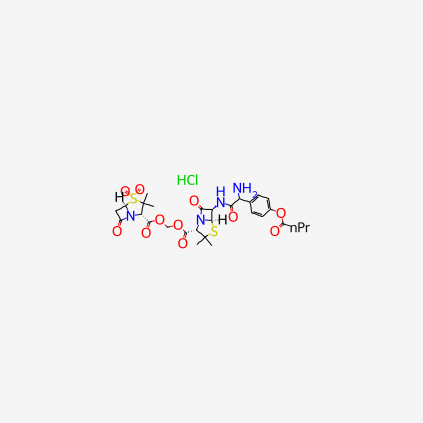 CCCC(=O)Oc1ccc(C(N)C(=O)N[C@@H]2C(=O)N3[C@@H]2SC(C)(C)[C@@H]3C(=O)OCOC(=O)[C@@H]2N3C(=O)C[C@H]3S(=O)(=O)C2(C)C)cc1.Cl